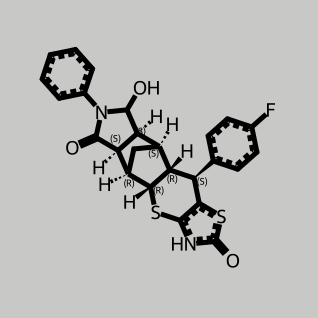 O=C1[C@@H]2[C@H]3C[C@@H]([C@@H]2C(O)N1c1ccccc1)[C@@H]1[C@@H](c2ccc(F)cc2)c2sc(=O)[nH]c2S[C@H]31